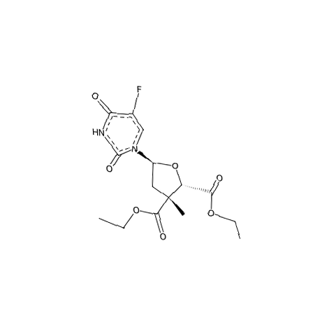 CCOC(=O)[C@H]1O[C@H](n2cc(F)c(=O)[nH]c2=O)C[C@@]1(C)C(=O)OCC